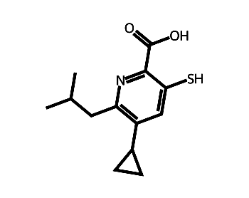 CC(C)Cc1nc(C(=O)O)c(S)cc1C1CC1